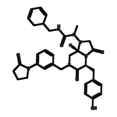 CN(C(=O)NCC1C=CC=CC1)N1CC(=O)N2[C@@H](Cc3ccc(O)cc3)C(=O)N(Cc3cccc(N4CCCC4=O)c3)C[C@@H]21